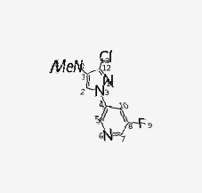 CNc1cn(-c2cncc(F)c2)nc1Cl